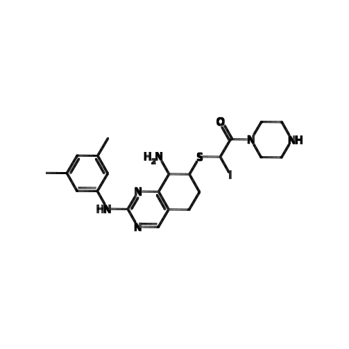 Cc1cc(C)cc(Nc2ncc3c(n2)C(N)C(SC(I)C(=O)N2CCNCC2)CC3)c1